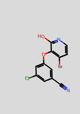 N#Cc1cc(Cl)cc(Oc2c(Br)ccnc2O)c1